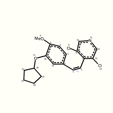 COc1ccc(/C=C\c2c(Cl)cncc2Cl)cc1OC1CCCC1